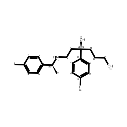 Cc1ccc([C@H](C)NCC[C@](O)(CCCO)c2ccc(F)cc2)cc1